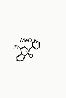 COc1ncccc1-n1cc(C(C)C)c2ccccc2c1=O